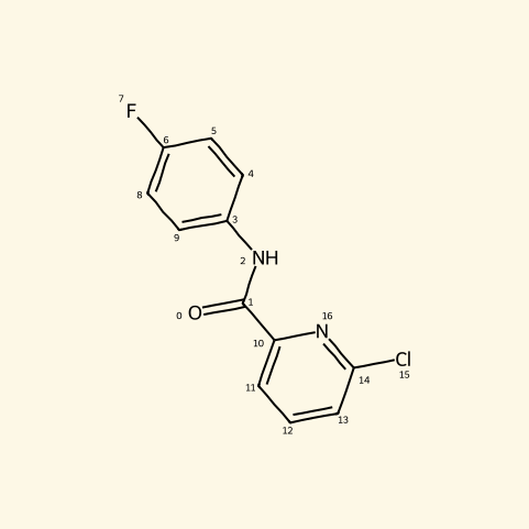 O=C(Nc1ccc(F)cc1)c1cccc(Cl)n1